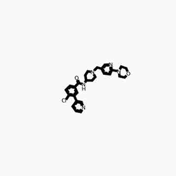 O=C(NC1CCN(Cc2ccc(N3CCOCC3)nc2)CC1)c1ccc(Cl)c(-c2cccnc2)c1